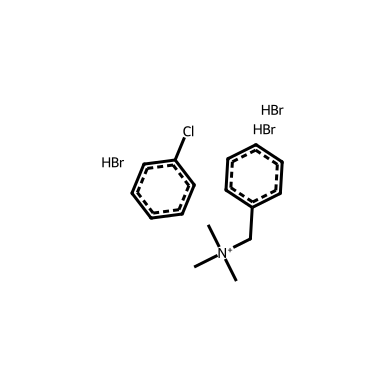 Br.Br.Br.C[N+](C)(C)Cc1ccccc1.Clc1ccccc1